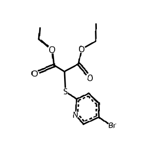 CCOC(=O)C(Sc1ccc(Br)cn1)C(=O)OCC